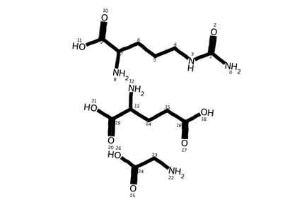 NC(=O)NCCCC(N)C(=O)O.NC(CCC(=O)O)C(=O)O.NCC(=O)O